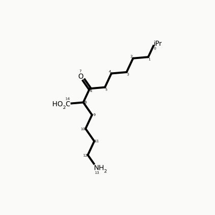 CC(C)CCCCCC(=O)C(CCCCN)C(=O)O